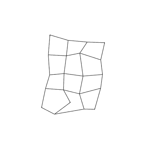 C1C2CC34C1C1C5CC6C7CC8C9C%10CC2C%103C92C78C65C142